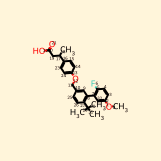 COc1ccc(F)c(-c2cc(COc3ccc(C(C)CC(=O)O)cc3)ccc2C(C)(C)C)c1